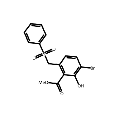 COC(=O)c1c(CS(=O)(=O)c2ccccc2)ccc(Br)c1O